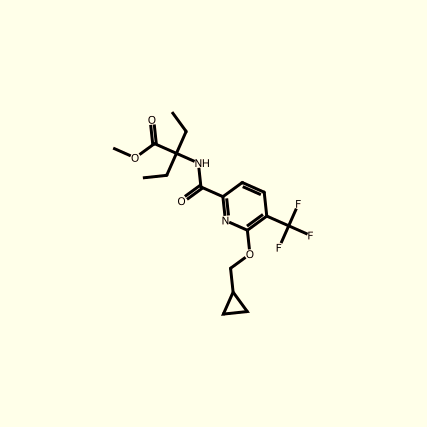 CCC(CC)(NC(=O)c1ccc(C(F)(F)F)c(OCC2CC2)n1)C(=O)OC